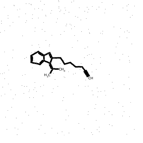 C#CCCCCCC1=Cc2ccccc2C1=C(C)C